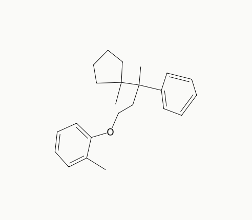 Cc1ccccc1OCCC(C)(c1ccccc1)C1(C)CCCC1